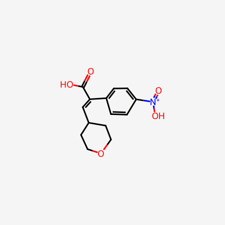 O=C(O)/C(=C/C1CCOCC1)c1ccc([N+](=O)O)cc1